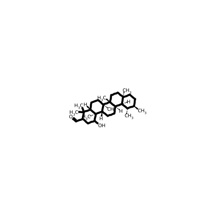 C[C@@H]1[C@H]2[C@H]3CC[C@@H]4[C@@]5(C)C(O)CC(C=O)C(C)(C)[C@@H]5CC[C@@]4(C)[C@]3(C)CC[C@@]2(C)CC[C@H]1C